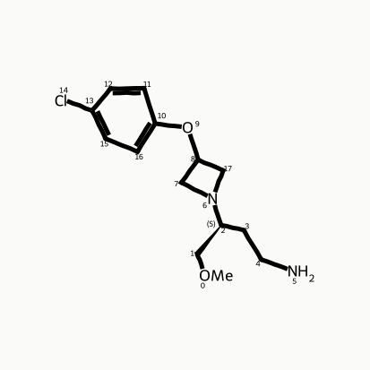 COC[C@H](CCN)N1CC(Oc2ccc(Cl)cc2)C1